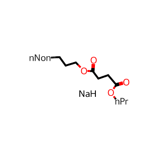 CCCCCCCCCCCCOC(=O)CCC(=O)OCCC.[NaH]